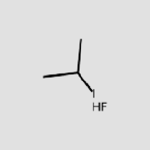 CC(C)I.F